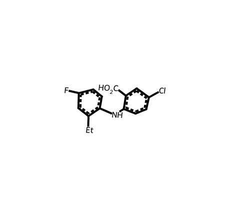 CCc1cc(F)ccc1Nc1ccc(Cl)cc1C(=O)O